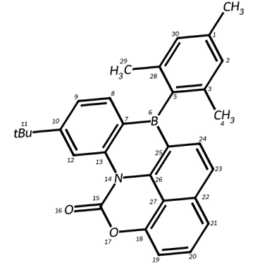 Cc1cc(C)c(B2c3ccc(C(C)(C)C)cc3N3C(=O)Oc4cccc5ccc2c3c45)c(C)c1